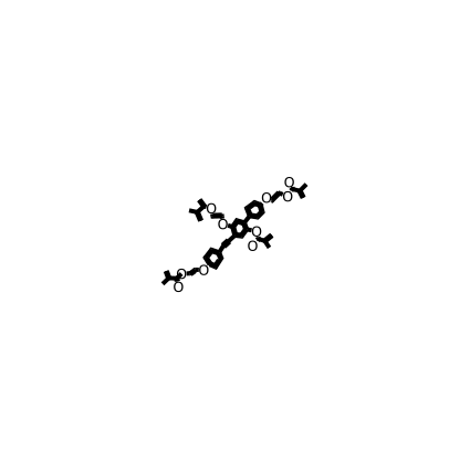 C=C(C)C(=C)O/C=C/Oc1cc(-c2ccc(O/C=C/OC(=O)C(=C)C)cc2)c(OC(=O)C(=C)C)cc1C#Cc1ccc(O/C=C/OC(=O)C(=C)C)cc1